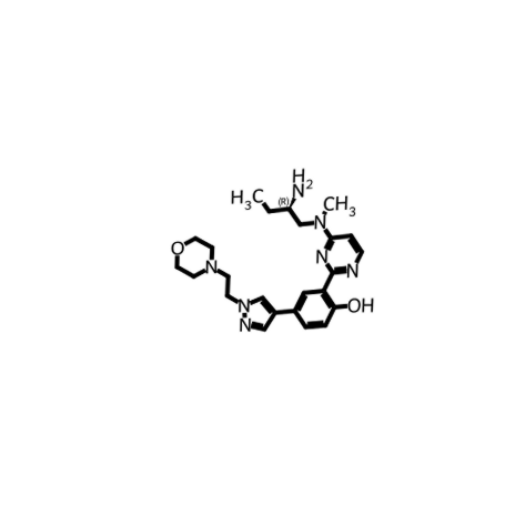 CC[C@@H](N)CN(C)c1ccnc(-c2cc(-c3cnn(CCN4CCOCC4)c3)ccc2O)n1